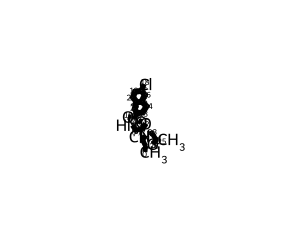 CC1CN(C(=O)[C@H](C)NS(=O)(=O)c2ccc3cc(Cl)ccc3c2)CC(C)O1